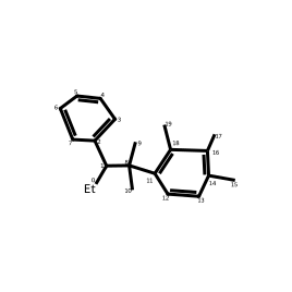 CC[C](c1ccccc1)C(C)(C)c1ccc(C)c(C)c1C